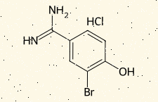 Cl.N=C(N)c1ccc(O)c(Br)c1